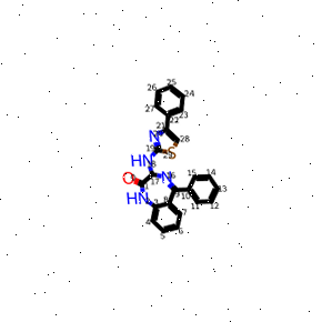 O=C1Nc2ccccc2C(c2ccccc2)=NC1Nc1nc(-c2ccccc2)cs1